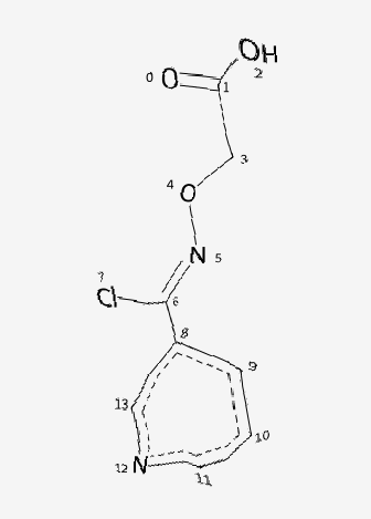 O=C(O)CO/N=C(\Cl)c1cccnc1